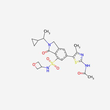 CC(=O)Nc1nc(C)c(-c2cc3c(c(S(=O)(=O)NC4COC4)c2)C(=O)N(C(C)C2CC2)C3)s1